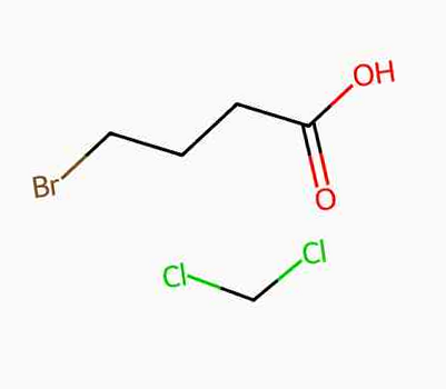 ClCCl.O=C(O)CCCBr